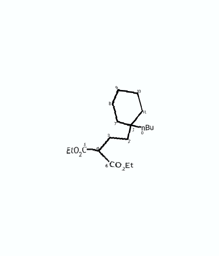 CCCCC1(CCC(C(=O)OCC)C(=O)OCC)CCCCC1